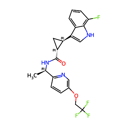 C[C@@H](NC(=O)[C@@H]1C[C@H]1c1c[nH]c2c(F)cccc12)c1ccc(OCC(F)(F)F)cn1